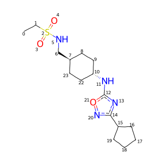 CCS(=O)(=O)NC[C@H]1CC[C@H](Nc2nc(C3CCCC3)no2)CC1